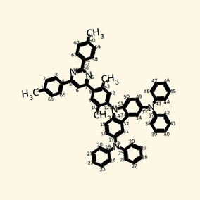 Cc1ccc(-c2cc(-c3cc(C)c(-n4c5ccc(N(c6ccccc6)c6ccccc6)cc5c5cc(N(c6ccccc6)c6ccccc6)ccc54)cc3C)nc(-c3ccc(C)cc3)n2)cc1